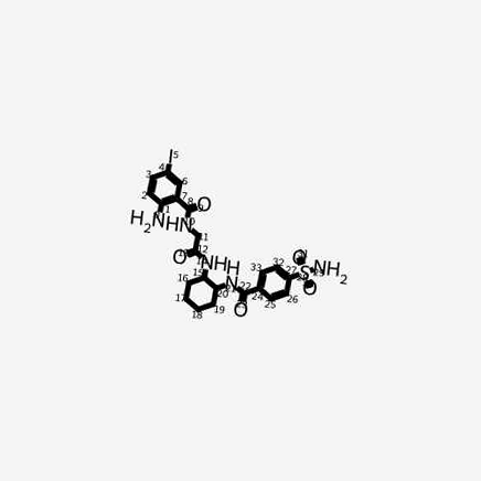 Nc1ccc(I)cc1C(=O)NCC(=O)NC1CCCCC1NC(=O)c1ccc(S(N)(=O)=O)cc1